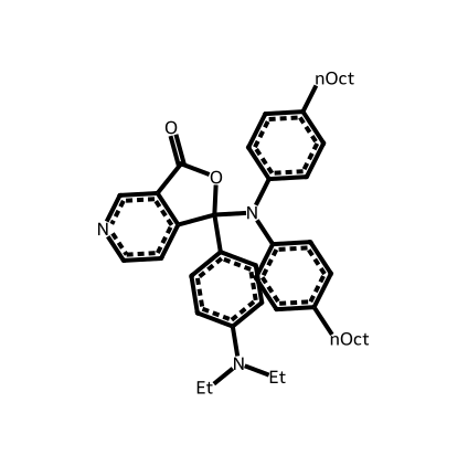 CCCCCCCCc1ccc(N(c2ccc(CCCCCCCC)cc2)C2(c3ccc(N(CC)CC)cc3)OC(=O)c3cnccc32)cc1